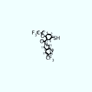 C[C@H](Oc1ccc(S)cc1C(=O)N1Cc2cc(C(F)(F)F)cnc2C1)C(F)(F)F